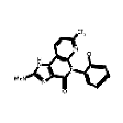 CNc1nc2c(=O)n(-c3ccccc3Cl)c3nc(C(F)(F)F)ccc3c2[nH]1